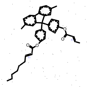 C/C=C/C(=O)Oc1ccc(C2(c3ccc(OC(=O)/C=C/CCCCCC)cc3)c3cc(C)ccc3-c3ccc(C)cc32)cc1